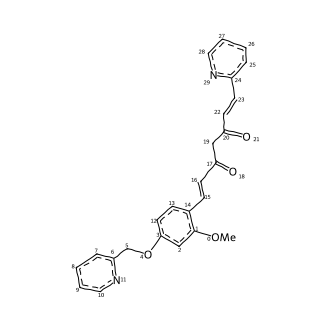 COc1cc(OCc2ccccn2)ccc1/C=C/C(=O)CC(=O)/C=C/c1ccccn1